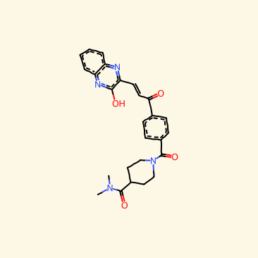 CN(C)C(=O)C1CCN(C(=O)c2ccc(C(=O)/C=C/c3nc4ccccc4nc3O)cc2)CC1